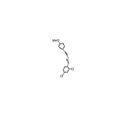 COc1ccc(C#CCN=Cc2ccc(Cl)cc2Cl)cc1